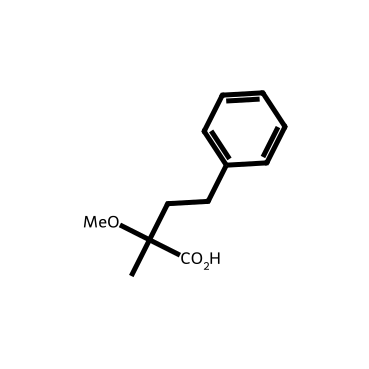 COC(C)(CCc1ccccc1)C(=O)O